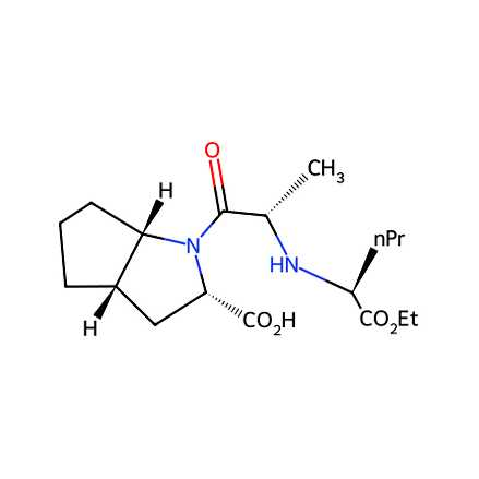 CCC[C@H](N[C@@H](C)C(=O)N1[C@H](C(=O)O)C[C@@H]2CCC[C@@H]21)C(=O)OCC